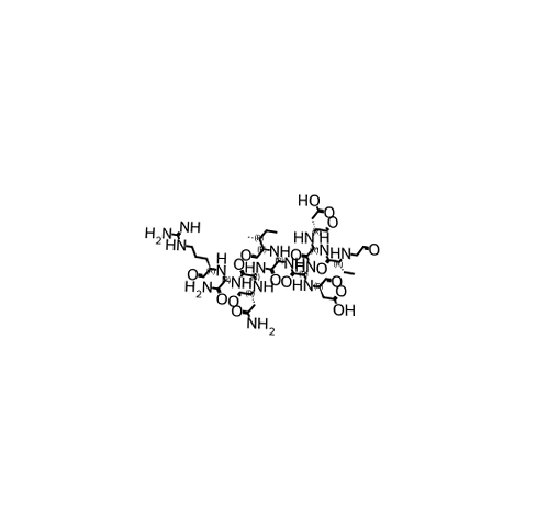 CC[C@@H](C)[C@H](C=O)N[C@H](NC(=O)[C@@H](NC(=O)[C@@H](NC(=O)[C@@H](CC)NCC=O)N[C@@H](C=O)CC(=O)O)N[C@@H](C=O)CC(=O)O)C(=O)N[C@@H](N[C@@H](C=O)CC(N)=O)C(=O)N[C@@H](N[C@@H](C=O)CCCNC(=N)N)C(N)=O